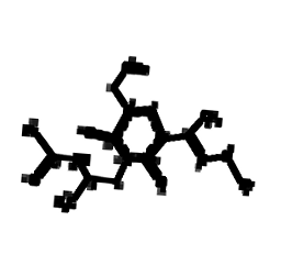 COCn1cc(/C(C)=N/OC(C)C)c(=O)n(CC(C)NC(=O)C(C)C)c1=O